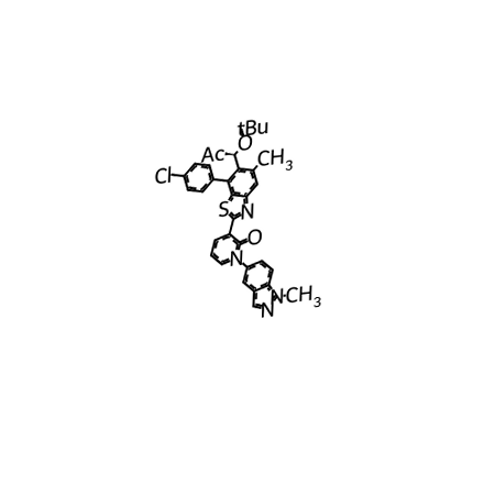 CC(=O)[C@@H](OC(C)(C)C)c1c(C)cc2nc(-c3cccn(-c4ccc5c(cnn5C)c4)c3=O)sc2c1-c1ccc(Cl)cc1